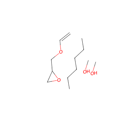 C=COCC1CO1.CCCCCC.CO.CO